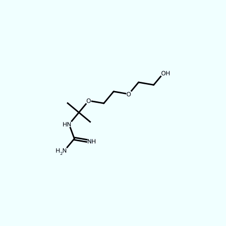 CC(C)(NC(=N)N)OCCOCCO